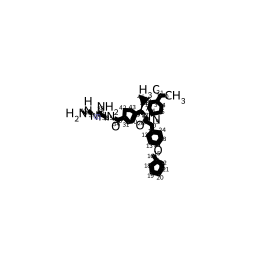 CC(C)C1CCC2(CC1)N=C(c1ccc(OCc3ccccc3)cc1)C(=O)N2[C@@H](C1=CC=C(C(=O)NC/C(N)=N/NN)CC1)C1CC1